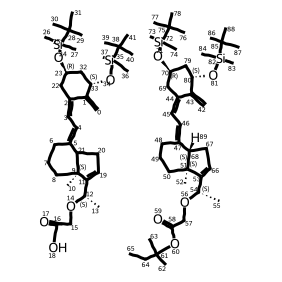 C=C1C(=CC=C2CCC[C@]3(C)C([C@H](C)OCC(=O)O)=CCC23)C[C@@H](O[Si](C)(C)C(C)(C)C)C[C@@H]1O[Si](C)(C)C(C)(C)C.C=C1C(=CC=C2CCC[C@]3(C)C([C@H](C)OCC(=O)OC(C)(C)CC)=CC[C@@H]23)C[C@@H](O[Si](C)(C)C(C)(C)C)C[C@@H]1O[Si](C)(C)C(C)(C)C